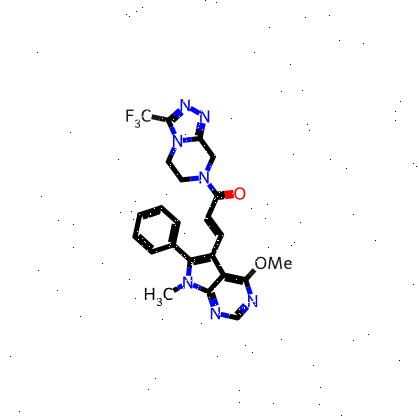 COc1ncnc2c1c(/C=C/C(=O)N1CCn3c(nnc3C(F)(F)F)C1)c(-c1ccccc1)n2C